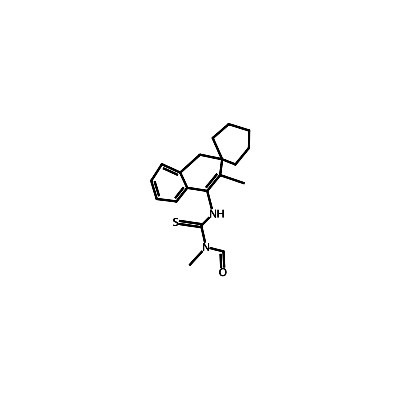 CC1=C(NC(=S)N(C)C=O)c2ccccc2CC12CCCCC2